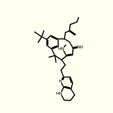 C=C(CCC)CC1CC(=N)/C=C(\NC)C(CCc2ccc3c(n2)NCCC3)C(C)(C)c2cc1cc(C(C)(C)C)c2